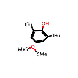 CC(C)(C)c1cccc(C(C)(C)C)c1O.CSOSC